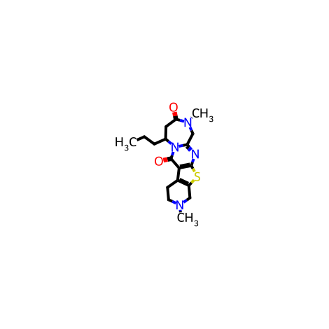 CCCC1CC(=O)N(C)Cc2nc3sc4c(c3c(=O)n21)CCN(C)C4